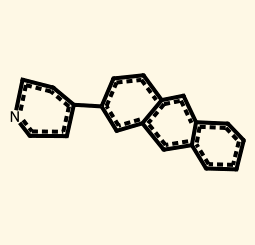 c1ccc2cc3cc(-c4ccncc4)ccc3cc2c1